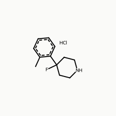 Cc1ccccc1C1(F)CCNCC1.Cl